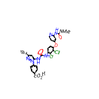 CNC(=O)Nc1cc(Oc2ccc(NC(=O)Nc3cc(C(C)(C)C)nn3-c3ccc(C(=O)O)cc3)c(Cl)c2Cl)ccn1